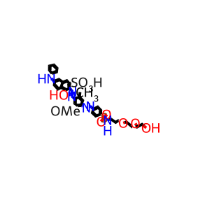 COc1cc(N=Nc2c(S(=O)(=O)O)cc3cc(Nc4ccccc4)ccc3c2O)c(C)cc1N=Nc1ccc(S(=O)(=O)NCCCOCCOCCO)cc1